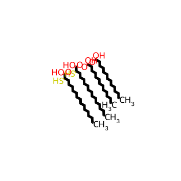 CCCCCCCCCCCCCC(=O)O.CCCCCCCCCCCCCC(=O)O.CCCCCCCCCCCCCCCC(S)C(=O)O.CCCCCCCCCCCCCCCC(S)C(=O)O